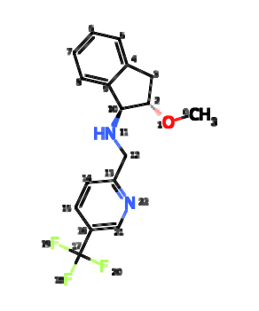 CO[C@H]1Cc2ccccc2[C@@H]1NCc1ccc(C(F)(F)F)cn1